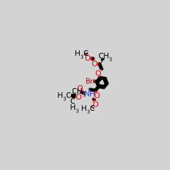 CC[C@H](COc1cccc(C(CNC(=O)OC(C)(C)C)OCOC)c1Br)OCOC